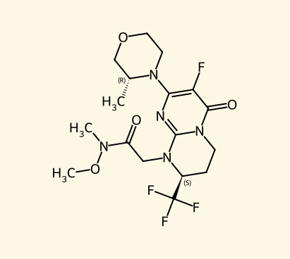 CON(C)C(=O)CN1c2nc(N3CCOC[C@H]3C)c(F)c(=O)n2CC[C@H]1C(F)(F)F